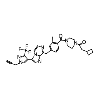 C#CCn1cc(-c2cnc3c(Cc4ccc(C(=O)N5CCN(C(=O)CC6CCC6)CC5)c(C)c4)nccn23)c(C(F)(F)F)n1